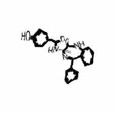 O=C(N[C@H]1N=C(c2ccccc2)c2ccccc2NC1=O)c1ccc(O)cc1